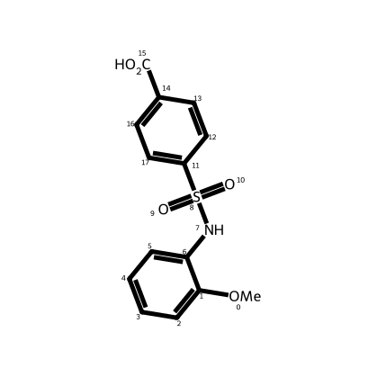 COc1ccccc1NS(=O)(=O)c1ccc(C(=O)O)cc1